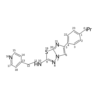 CC(C)c1ccc(-c2cn3nc(NCCc4ccncc4)sc3n2)cc1